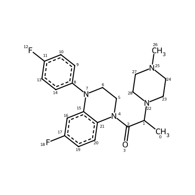 CC(C(=O)N1CCN(c2ccc(F)cc2)c2cc(F)ccc21)N1CCN(C)CC1